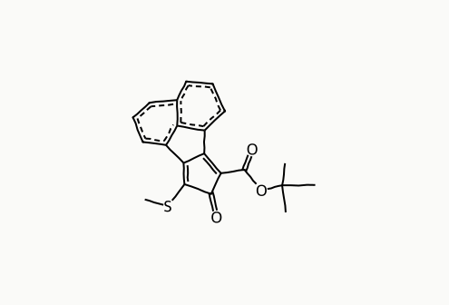 CSC1=C2C(=C(C(=O)OC(C)(C)C)C1=O)c1cccc3cccc2c13